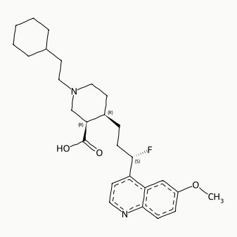 COc1ccc2nccc([C@@H](F)CC[C@@H]3CCN(CCC4CCCCC4)C[C@@H]3C(=O)O)c2c1